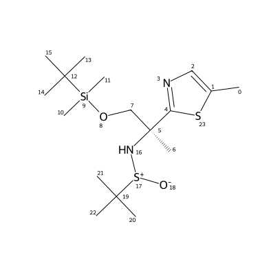 Cc1cnc([C@](C)(CO[Si](C)(C)C(C)(C)C)N[S+]([O-])C(C)(C)C)s1